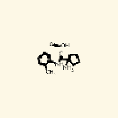 Cc1ccccc1NC(=O)C1(N)CCCC1.O=CO